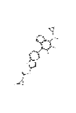 CN(c1c(F)c(Cl)c(-c2ccc3nc(NC(=O)C4CC4F)cn3c2)c2cn[nH]c12)C1CC1